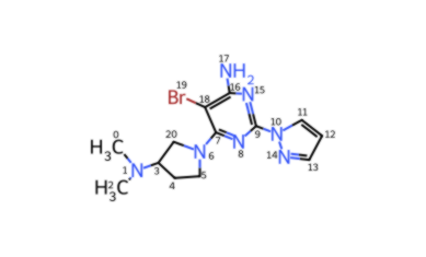 CN(C)C1CCN(c2nc(-n3cccn3)nc(N)c2Br)C1